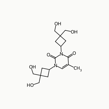 Cc1cn(C2CC(CO)(CO)C2)c(=O)n(C2CC(CO)(CO)C2)c1=O